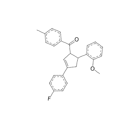 COc1ccccc1C1CC(c2ccc(F)cc2)=CC1C(=O)c1ccc(C)cc1